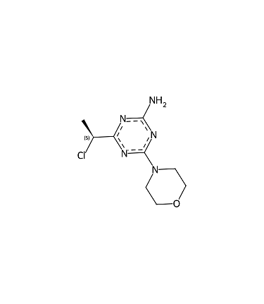 C[C@H](Cl)c1nc(N)nc(N2CCOCC2)n1